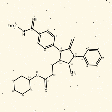 CCOC(=O)NC(=N)c1ccc(N2C(=O)N(c3ccccc3)C(C)N2CCC(=O)OC2CCCCC2)cc1